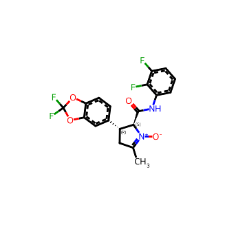 CC1=[N+]([O-])[C@H](C(=O)Nc2cccc(F)c2F)[C@@H](c2ccc3c(c2)OC(F)(F)O3)C1